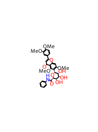 COc1ccc(-c2cc(=O)c3c(OC)c([C@@H]4O[C@H](C(=O)Nc5ccccc5)[C@@H](O)[C@H](O)[C@H]4O)c(OC)cc3o2)cc1OC